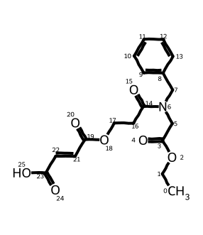 CCOC(=O)CN(Cc1ccccc1)C(=O)CCOC(=O)C=CC(=O)O